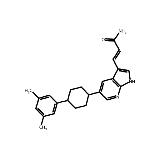 Cc1cc(C)cc(C2CCC(c3cnc4[nH]cc(/C=C/C(N)=O)c4c3)CC2)c1